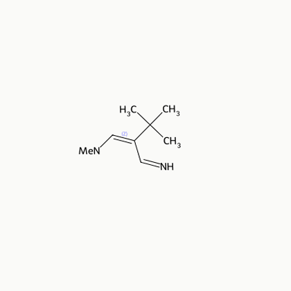 CN/C=C(\C=N)C(C)(C)C